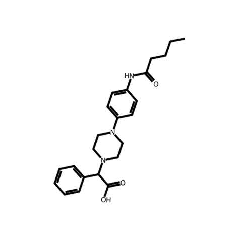 CCCCC(=O)Nc1ccc(N2CCN(C(C(=O)O)c3ccccc3)CC2)cc1